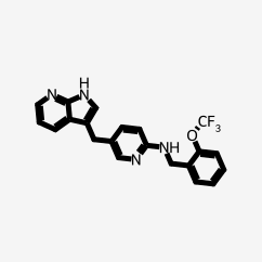 FC(F)(F)Oc1ccccc1CNc1ccc(Cc2c[nH]c3ncccc23)cn1